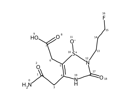 NC(=O)CC1=C(CC(=O)O)[S+]([O-])N(CCCF)C(=O)N1